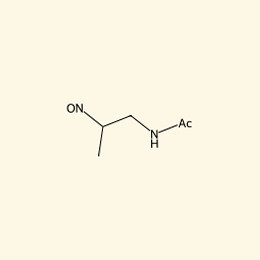 CC(=O)NCC(C)N=O